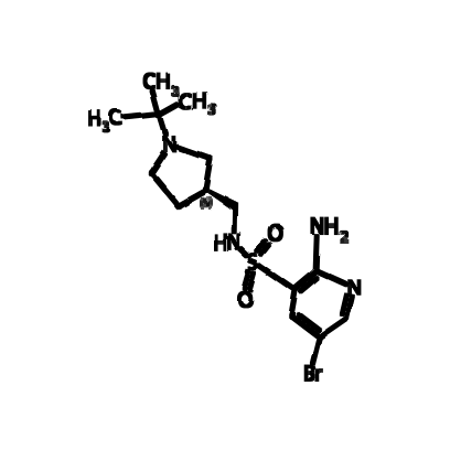 CC(C)(C)N1CC[C@H](CNS(=O)(=O)c2cc(Br)cnc2N)C1